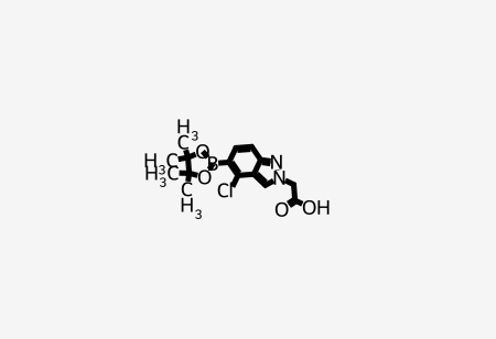 CC1(C)OB(c2ccc3nn(CC(=O)O)cc3c2Cl)OC1(C)C